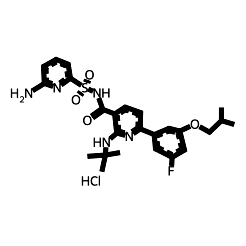 CC(C)COc1cc(F)cc(-c2ccc(C(=O)NS(=O)(=O)c3cccc(N)n3)c(NC(C)(C)C)n2)c1.Cl